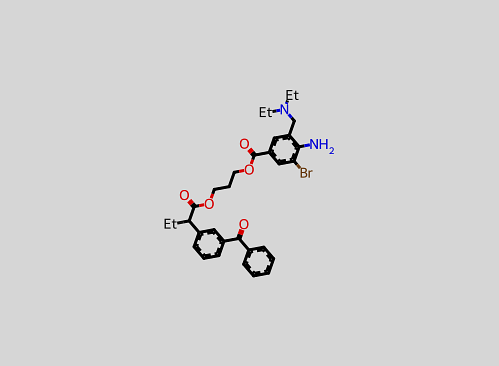 CCC(C(=O)OCCCOC(=O)c1cc(Br)c(N)c(CN(CC)CC)c1)c1cccc(C(=O)c2ccccc2)c1